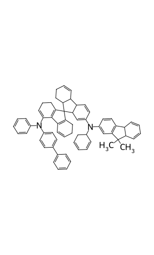 CC1(C)c2cc(N(C3=CC4C(C=C3)C3C=CCCC3C43C4=C(C=CCC4)C4=C3CCC=C4N(c3ccccc3)c3ccc(-c4ccccc4)cc3)C3C=CC=CC3)ccc2C2C=CC=CC21